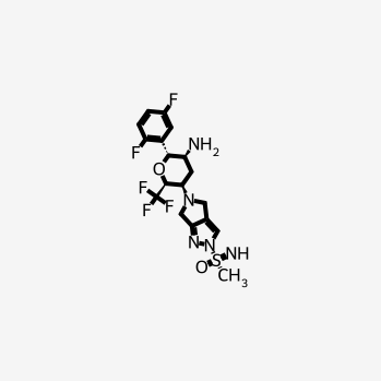 CS(=N)(=O)n1cc2c(n1)CN([C@@H]1C[C@H](N)[C@@H](c3cc(F)ccc3F)O[C@@H]1C(F)(F)F)C2